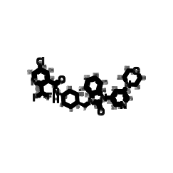 O=C(N[C@H]1CC[C@H](Cn2c(=O)n(-c3cncc(N4CCOCC4)c3)c3ccccc32)CC1)c1cc(Cl)cnc1C(F)F